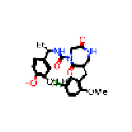 CC[C@@H](NC(=O)N1CC(=O)NC[C@@H](Cc2cc(Cl)ccc2OC)C1=O)c1ccc(O)c(C(=O)O)c1